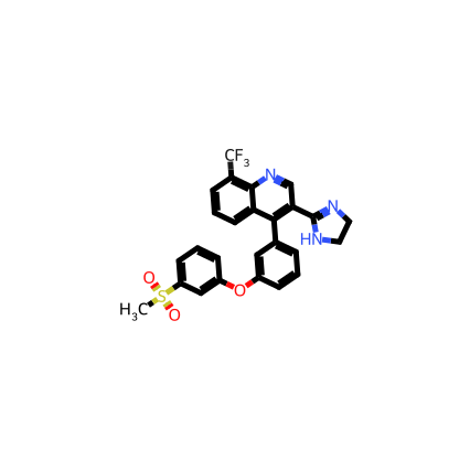 CS(=O)(=O)c1cccc(Oc2cccc(-c3c(C4=NCCN4)cnc4c(C(F)(F)F)cccc34)c2)c1